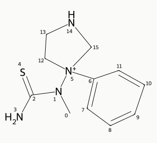 CN(C(N)=S)[N+]1(c2ccccc2)CCNC1